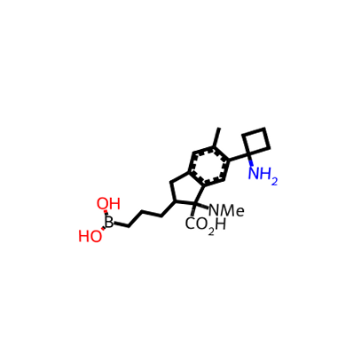 CNC1(C(=O)O)c2cc(C3(N)CCC3)c(C)cc2CC1CCCB(O)O